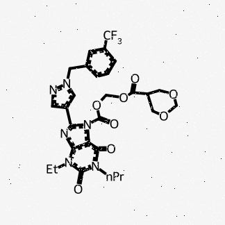 CCCn1c(=O)c2c(nc(-c3cnn(Cc4cccc(C(F)(F)F)c4)c3)n2C(=O)OCOC(=O)C2COCOC2)n(CC)c1=O